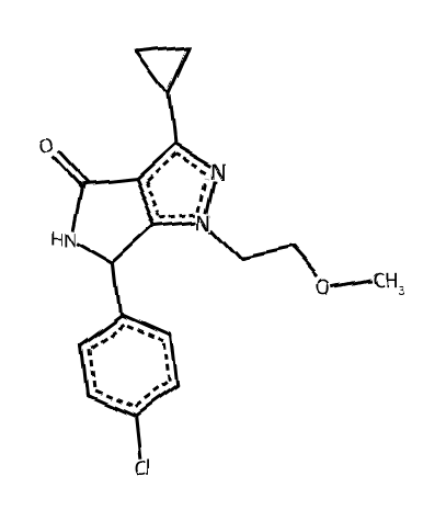 COCCn1nc(C2CC2)c2c1C(c1ccc(Cl)cc1)NC2=O